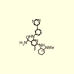 CN[C@H]1CCCCC1Nc1nc(Nc2cccc(-c3cncnc3)c2)c(C(N)=O)cc1F